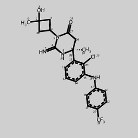 CC1(O)CC(N2C(=N)N[C@](C)(c3cccc(Nc4ccc(C(F)(F)F)cc4)c3Cl)CC2=O)C1